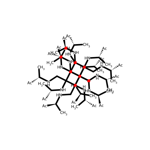 CC(=O)[C@H](C)NCC(CN[C@@H](C)C(C)=O)(N[C@@H](C)C(C)=O)C(CN[C@@H](C)C(C)=O)(N[C@@H](C)C(C)=O)C(CN[C@@H](C)C(C)=O)(N[C@@H](C)C(C)=O)C(CN[C@@H](C)C(C)=O)(N[C@@H](C)C(C)=O)C(CN[C@@H](C)C(C)=O)(N[C@@H](C)C(C)=O)C(CN[C@@H](C)C(C)=O)(CN[C@@H](C)C(C)=O)N[C@@H](C)C(C)=O